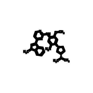 COc1cc(N2CC[C@H](N(C)C)C2)c(N)cc1Nc1nccc(-c2cn(C)c3ccccc23)n1